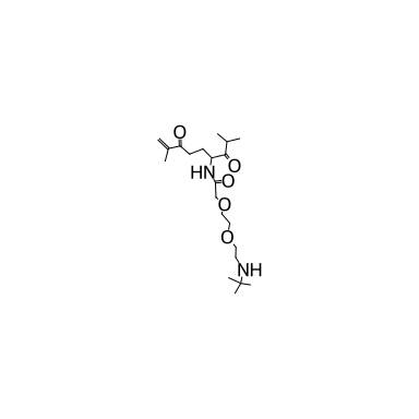 C=C(C)C(=O)CCC(NC(=O)COCCOCCNC(C)(C)C)C(=O)C(C)C